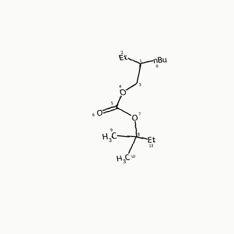 CCCCC(CC)COC(=O)OC(C)(C)CC